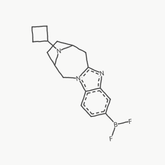 FB(F)c1ccc2c(c1)nc1n2CC2CCC(C1)N2C1CCC1